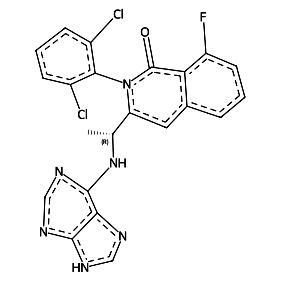 C[C@@H](Nc1ncnc2[nH]cnc12)c1cc2cccc(F)c2c(=O)n1-c1c(Cl)cccc1Cl